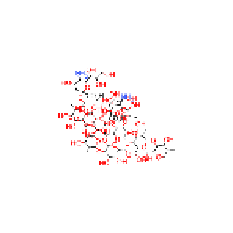 CC1C(O)[C@H](OC2OC(CO[C@]3(C(=O)O)C[C@@H](O)[C@@H](N)C(C(O)C(O)CO)O3)[C@H](O)[C@H](O)C2O)[C@H](CO)O[C@H]1O[C@@H]1C(O)[C@H](O)C(CO)O[C@@H]1OCC1O[C@@H](O[C@@H]2C(CO)O[C@@H](O[C@@H]3C(CO)O[C@@H](C)[C@@H](C)C3O)[C@@H](C)C2O)[C@H](O)C(O[C@H]2O[C@H](CO)[C@@H](O)C(O)C2O[C@@H]2OC(CO)[C@@H](O[C@@H]3OC(CO[C@]4(C(=O)O)C[C@@H](O)[C@@H](N)C(C(O)C(O)CO)O4)[C@H](C)C(O)[C@@H]3O)C(O)[C@@H]2C)[C@@H]1O